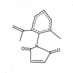 C=C(C)c1cccc(C)c1N1C(=O)C=CC1=O